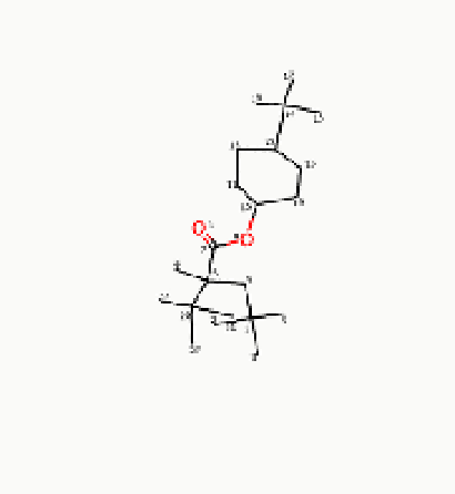 CC(C)(C)CC(C)(C(=O)OC1CCC(C(C)(C)C)CC1)C(C)(C)C